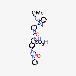 COCCCn1c([C@@H]2CCCN(C(=O)C[C@@H](Cc3ccc(N4CCN(c5ccccc5)C(=O)C4)cc3)NC(=O)O)C2)nc2ccccc21